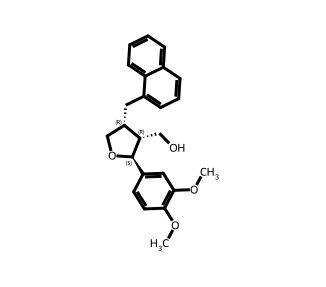 COc1ccc([C@H]2OC[C@H](Cc3cccc4ccccc34)[C@@H]2CO)cc1OC